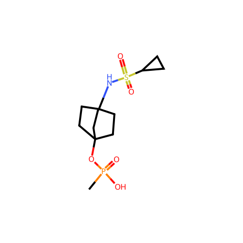 CP(=O)(O)OC12CCC(NS(=O)(=O)C3CC3)(CC1)CC2